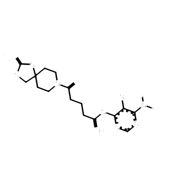 C=C(CCCC(=O)N1CCC2(CC1)CNC(=C)N2)Nc1ncnc(N(C)C)c1N